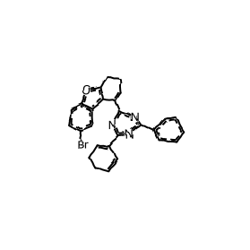 Brc1ccc2oc3c(c2c1)C(c1nc(C2=CCCC=C2)nc(-c2ccccc2)n1)=CCC3